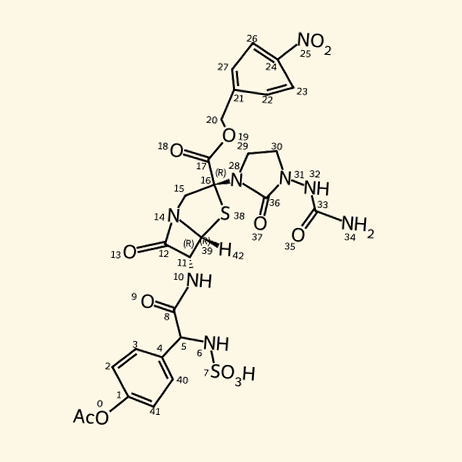 CC(=O)Oc1ccc(C(NS(=O)(=O)O)C(=O)N[C@@H]2C(=O)N3C[C@@](C(=O)OCc4ccc([N+](=O)[O-])cc4)(N4CCN(NC(N)=O)C4=O)S[C@H]23)cc1